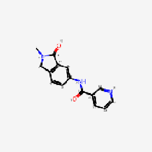 CN1Cc2ccc(NC(=O)c3cccnc3)cc2C1=O